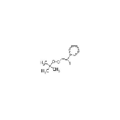 CC(C)(C)OOC=C(I)c1ccccc1